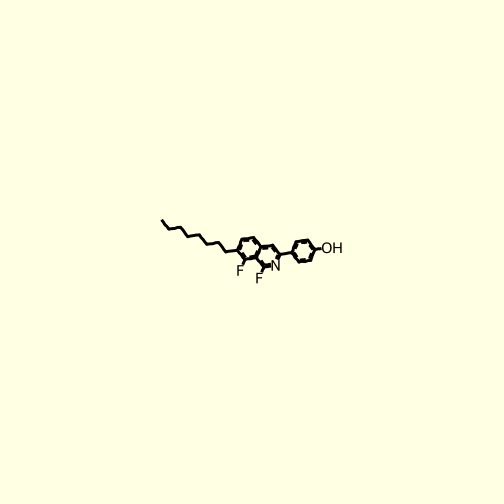 CCCCCCCCc1ccc2cc(-c3ccc(O)cc3)nc(F)c2c1F